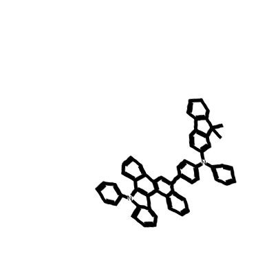 CC1(C)C2=C(C=CCC2)c2ccc(N(c3ccccc3)c3ccc(-c4cc5c6ccccc6c6c(c7ccccc7n6-c6ccccc6)c5c5ccccc45)cc3)cc21